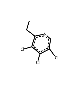 CCc1ncc(Cl)c(Cl)c1Cl